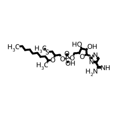 CCCCCCCCC(C)OC(COP(=O)(O)OCC1OC(n2ncc(C(=N)N)n2)C(O)C1O)CSC